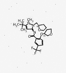 Cn1c(C(C)(C)C)cc(=NC(=O)c2cc(C(F)(F)F)ccc2O[C@H]2CCOC2)n1C[C@H]1CCCO1